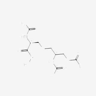 CCC(=O)N[C@@H](CSCC(COC(=O)CC)OC(=O)CC)C(=O)NS